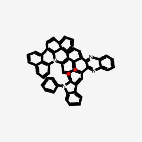 c1ccc(-n2c3ccccc3c3cc(-c4nc5ccccc5nc4-c4cccc5c(N6c7c(ccc8ccccc78)-c7cccc8cccc6c78)cccc45)ccc32)cc1